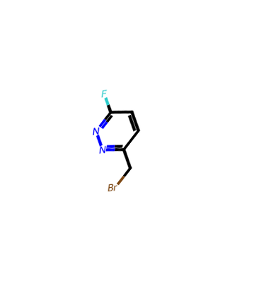 Fc1ccc(CBr)nn1